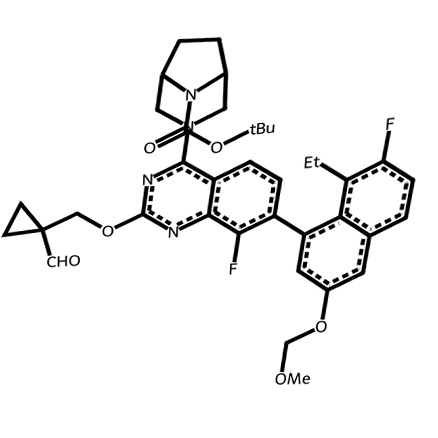 CCc1c(F)ccc2cc(OCOC)cc(-c3ccc4c(N5CC6CCC(C5)N6C(=O)OC(C)(C)C)nc(OCC5(C=O)CC5)nc4c3F)c12